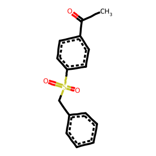 CC(=O)c1ccc(S(=O)(=O)Cc2ccccc2)cc1